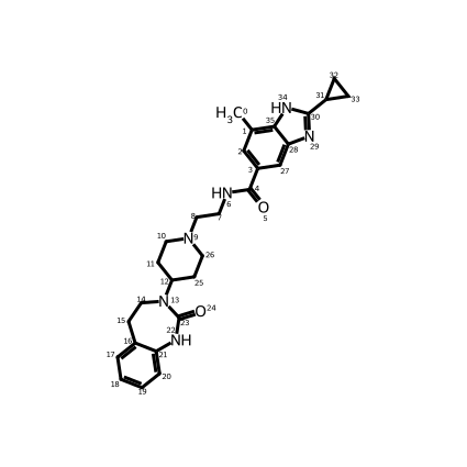 Cc1cc(C(=O)NCCN2CCC(N3CCc4ccccc4NC3=O)CC2)cc2nc(C3CC3)[nH]c12